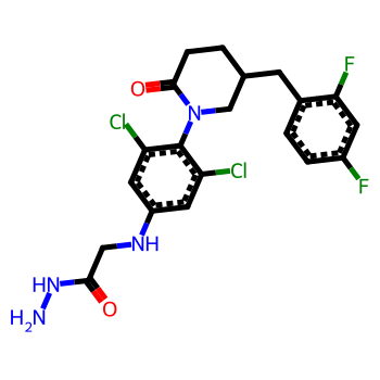 NNC(=O)CNc1cc(Cl)c(N2CC(Cc3ccc(F)cc3F)CCC2=O)c(Cl)c1